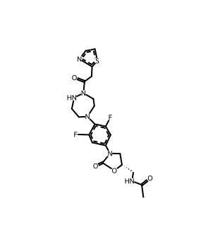 CC(=O)NC[C@H]1CN(c2cc(F)c(N3CCNN(C(=O)Cc4nccs4)CC3)c(F)c2)C(=O)O1